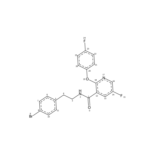 O=C(NCCc1ccc(Br)cc1)c1cc(F)cnc1Oc1ccc(F)cc1